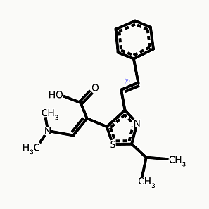 CC(C)c1nc(/C=C/c2ccccc2)c(C(=CN(C)C)C(=O)O)s1